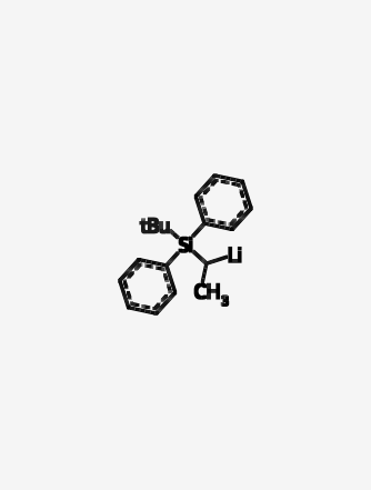 [Li][CH](C)[Si](c1ccccc1)(c1ccccc1)C(C)(C)C